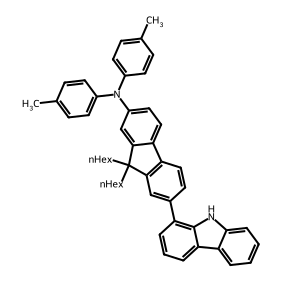 CCCCCCC1(CCCCCC)c2cc(-c3cccc4c3[nH]c3ccccc34)ccc2-c2ccc(N(c3ccc(C)cc3)c3ccc(C)cc3)cc21